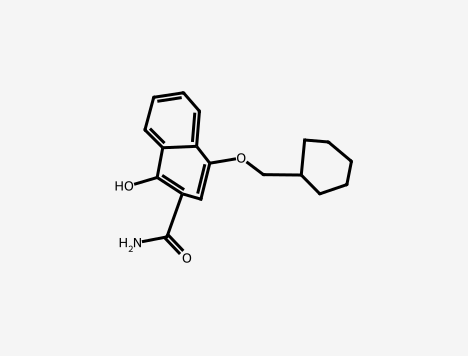 NC(=O)c1cc(OCC2CCCCC2)c2ccccc2c1O